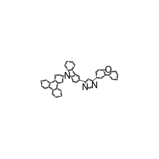 c1ccc2c(c1)oc1ccc(-c3cc(-c4ccc5c(c4)c4ccccc4n5-c4ccc5c6ccccc6c6ccccc6c5c4)ncn3)cc12